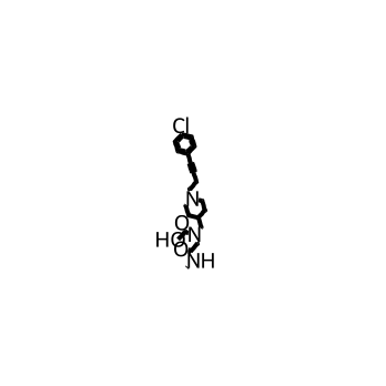 CNC(=O)CN(CC1CCN(CCC#Cc2ccc(Cl)cc2)CC1)C(=O)O